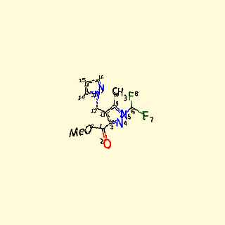 COC(=O)c1nn(C(F)F)c(C)c1Cn1cccn1